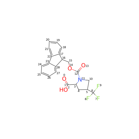 O=C(O)C1CC(C(F)(F)F)CN1C(=O)OCC1c2ccccc2-c2ccccc21